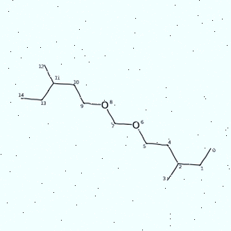 CCC(C)CCO[CH]OCCC(C)CC